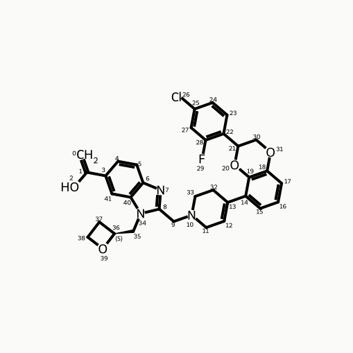 C=C(O)c1ccc2nc(CN3CC=C(c4cccc5c4OC(c4ccc(Cl)cc4F)CO5)CC3)n(C[C@@H]3CCO3)c2c1